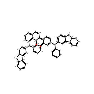 c1ccc(N(c2ccc3c(ccc4c3ccc3cccc(N(c5ccccc5)c5ccc6oc7ccccc7c6c5)c34)c2)c2ccc3oc4ccccc4c3c2)cc1